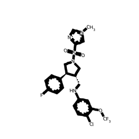 Cn1cnc(S(=O)(=O)N2C[C@H](CNc3ccc(Cl)c(OC(F)(F)F)c3)[C@@H](c3ccc(F)cc3)C2)c1